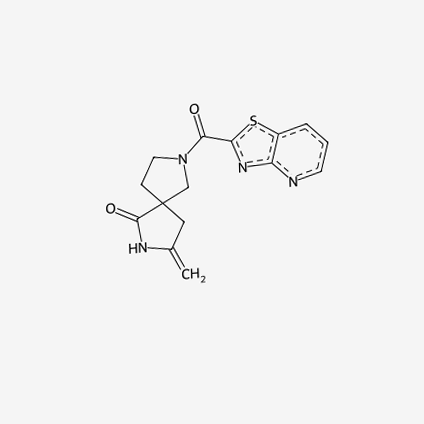 C=C1CC2(CCN(C(=O)c3nc4ncccc4s3)C2)C(=O)N1